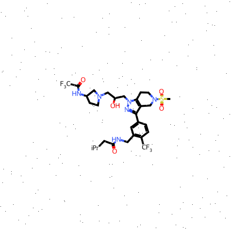 CC(C)CC(=O)NCc1cc(-c2nn(CC(O)CN3CCC(NC(=O)C(F)(F)F)C3)c3c2CN(S(C)(=O)=O)CC3)ccc1C(F)(F)F